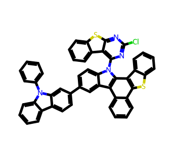 Clc1nc(-n2c3ccc(-c4ccc5c6ccccc6n(-c6ccccc6)c5c4)cc3c3c4ccccc4c4sc5ccccc5c4c32)c2c(n1)sc1ccccc12